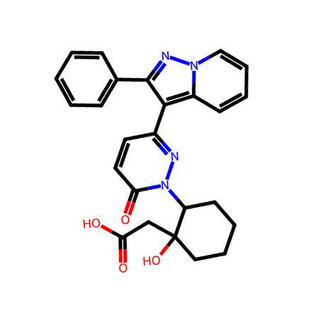 O=C(O)CC1(O)CCCCC1n1nc(-c2c(-c3ccccc3)nn3ccccc23)ccc1=O